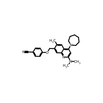 Cc1cc2c(N3CCCCCC3)cc(N(C)C)nc2cc1COc1ccc(C#N)cc1